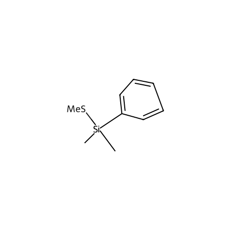 CS[Si](C)(C)c1ccccc1